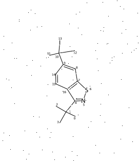 CC(C)(C)c1nsc2cc(C(C)(C)I)ccc12